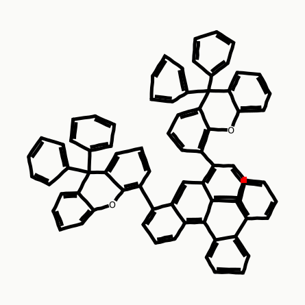 c1ccc(-c2ccccc2-c2c3cccc(-c4cccc5c4Oc4ccccc4C5(c4ccccc4)c4ccccc4)c3cc3c(-c4cccc5c4Oc4ccccc4C5(c4ccccc4)c4ccccc4)cccc23)cc1